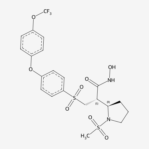 CS(=O)(=O)N1CCC[C@@H]1[C@H](CS(=O)(=O)c1ccc(Oc2ccc(OC(F)(F)F)cc2)cc1)C(=O)NO